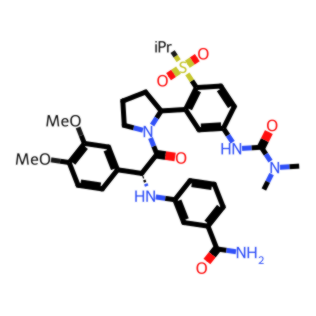 COc1ccc([C@@H](Nc2cccc(C(N)=O)c2)C(=O)N2CCCC2c2cc(NC(=O)N(C)C)ccc2S(=O)(=O)C(C)C)cc1OC